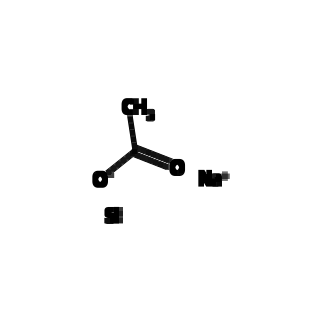 CC(=O)[O-].[Na+].[Si]